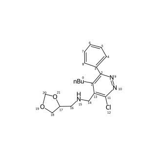 CCCCc1c(-c2ccccc2)nnc(Cl)c1CNCC1COCO1